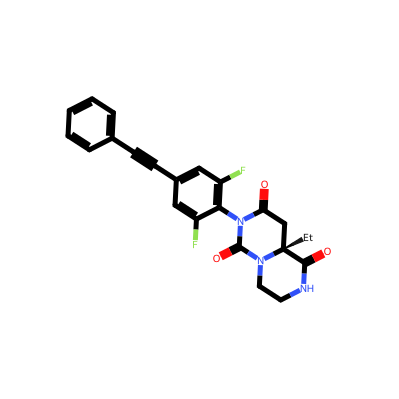 CC[C@]12CC(=O)N(c3c(F)cc(C#Cc4ccccc4)cc3F)C(=O)N1CCNC2=O